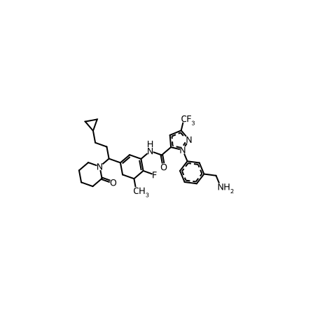 CC1CC(C(CCC2CC2)N2CCCCC2=O)=CC(NC(=O)c2cc(C(F)(F)F)nn2-c2cccc(CN)c2)=C1F